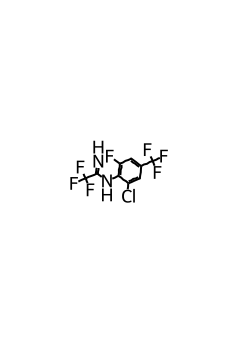 N=C(Nc1c(F)cc(C(F)(F)F)cc1Cl)C(F)(F)F